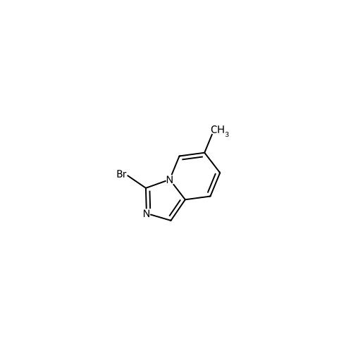 Cc1ccc2cnc(Br)n2c1